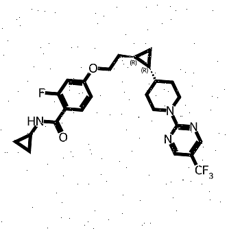 O=C(NC1CC1)c1ccc(OCC[C@H]2C[C@@H]2C2CCN(c3ncc(C(F)(F)F)cn3)CC2)cc1F